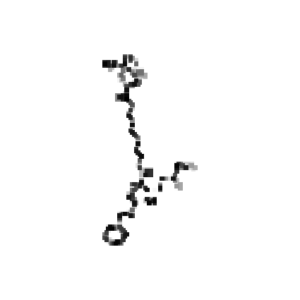 COC(=O)CC[C@H](NC(=O)OCc1ccccc1)C(=O)NCCCCCCCCNC(=O)OC(C)(C)C